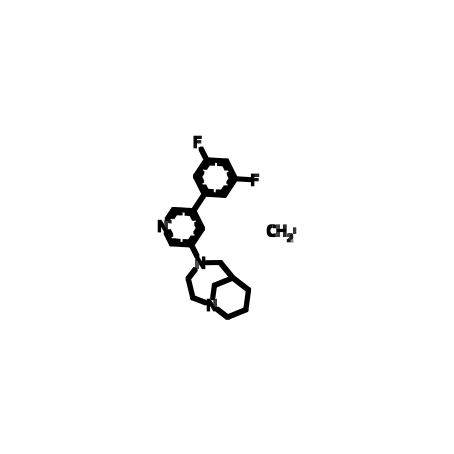 Fc1cc(F)cc(-c2cncc(N3CCN4CCCC(C4)C3)c2)c1.[CH2]